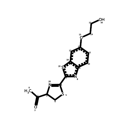 CC(=O)C1CSC(c2nc3ccc(OCCO)cc3s2)=N1